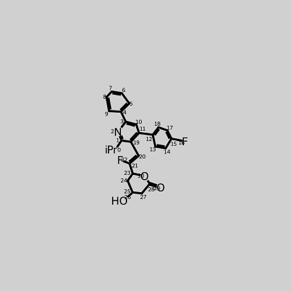 CC(C)c1nc(-c2ccccc2)cc(-c2ccc(F)cc2)c1/C=C(\F)C1CC(O)CC(=O)O1